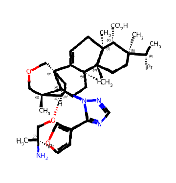 CC(C)[C@@H](C)[C@@]1(C)CC[C@]2(C)[C@H]3CC[C@@H]4[C@@]5(COC[C@@]4(C)[C@@H](OC[C@](C)(N)C(C)C)[C@H](n4ncnc4-c4ccoc4)C5)C3=CC[C@@]2(C)[C@@H]1C(=O)O